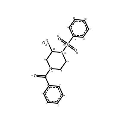 O=C(c1ccccc1)N1CCN(S(=O)(=O)c2ccccc2)C([N+](=O)[O-])C1